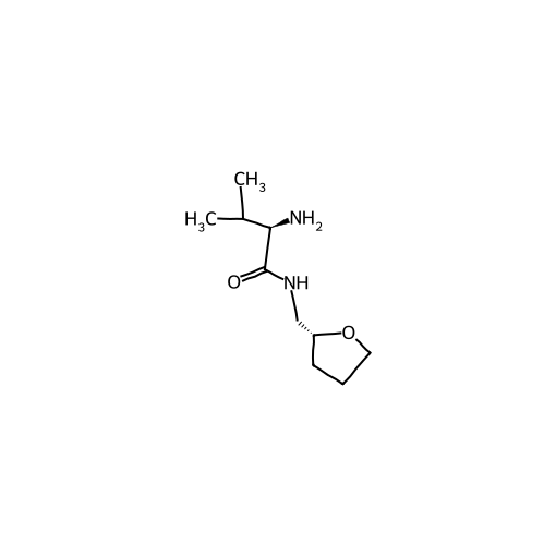 CC(C)[C@@H](N)C(=O)NC[C@H]1CCCO1